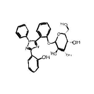 OC[C@H]1OC(Oc2ccccc2-c2nc(-c3ccccc3O)nn2-c2ccccc2)[C@H](O)[C@@H](O)[C@H]1O